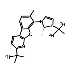 [2H]C(C)(C)c1ccc2c(n1)oc1c(N3C=CN(C([2H])([2H])C)[C@@H]3C)c(C)ccc12